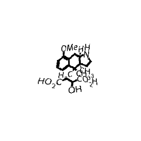 COc1cccc2c1C[C@@H]1NCC[C@@]1(C)C2(C)C.O=C(O)CC(O)C(=O)O